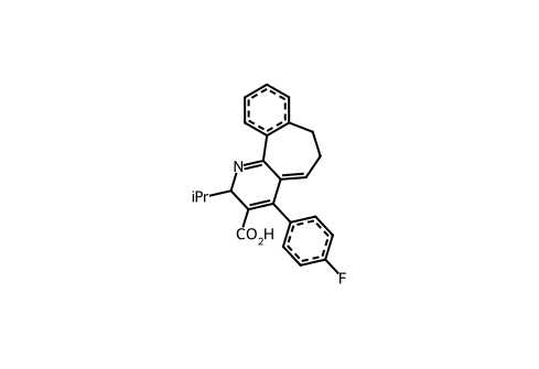 CC(C)C1N=C2C(=CCCc3ccccc32)C(c2ccc(F)cc2)=C1C(=O)O